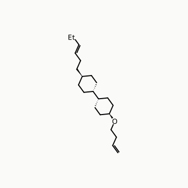 C=CCCO[C@H]1CC[C@H]([C@H]2CC[C@H](CC/C=C/CC)CC2)CC1